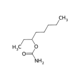 CCCCCC(CC)OC(N)=O